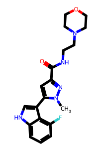 Cn1nc(C(=O)NCCN2CCOCC2)cc1-c1c[nH]c2cccc(F)c12